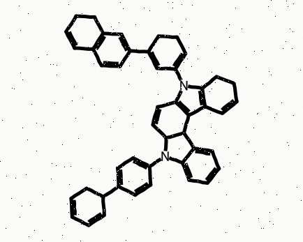 C1=CCC(c2ccc(N3c4ccccc4C4c5c6c(n(C7=CCCC(c8ccc9c(c8)CCC=C9)=C7)c5C=CC43)CCC=C6)cc2)C=C1